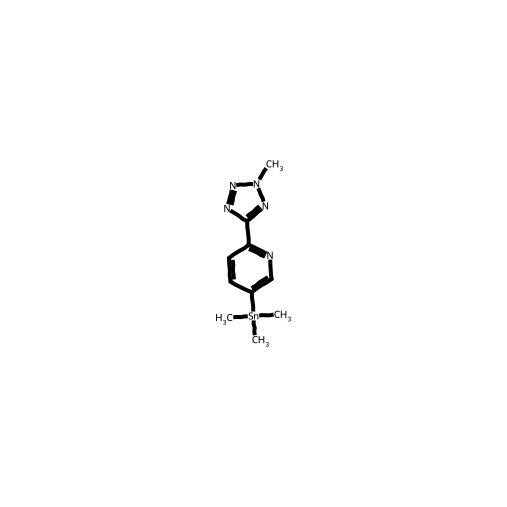 Cn1nnc(-c2cc[c]([Sn]([CH3])([CH3])[CH3])cn2)n1